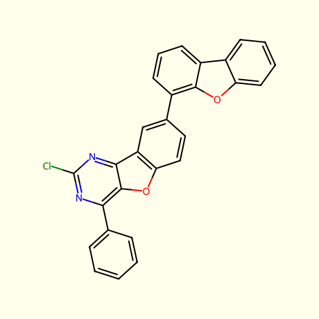 Clc1nc(-c2ccccc2)c2oc3ccc(-c4cccc5c4oc4ccccc45)cc3c2n1